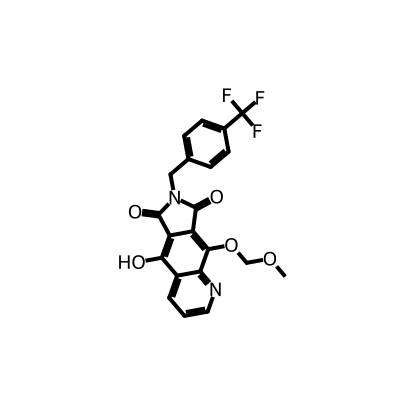 COCOc1c2c(c(O)c3cccnc13)C(=O)N(Cc1ccc(C(F)(F)F)cc1)C2=O